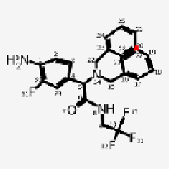 Nc1ccc(C(C(=O)NCC(F)(F)F)N(Cc2ccccc2)Cc2ccccc2)cc1F